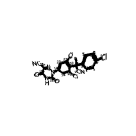 CC(C#N)(c1ccc(Cl)cc1)c1c(Cl)cc(-n2nc(C#N)c(=O)[nH]c2=O)cc1Cl